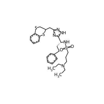 CCN(CC)CCCS(=O)(=O)N[C@H](CCc1ccccc1)c1nc(CC2CSc3ccccc3S2)n[nH]1